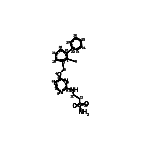 Cc1c(COc2ncnc(NCCS(N)(=O)=O)n2)cccc1-c1ccccc1